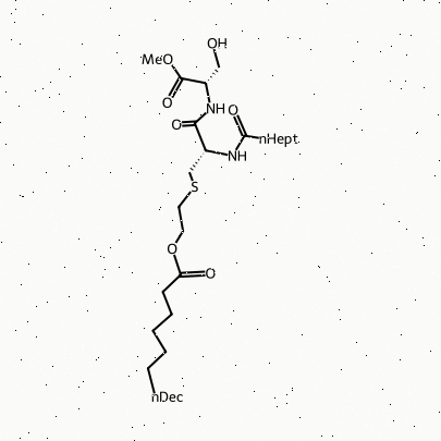 CCCCCCCCCCCCCCCC(=O)OCCSC[C@@H](NC(=O)CCCCCCC)C(=O)N[C@@H](CO)C(=O)OC